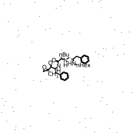 CCCCCCN[C@H](CN[C@@H](CCCC)C(=O)N[C@@H](Cc1ccccc1)C(=O)[C@@]1(C)CO1)Cc1ccccc1